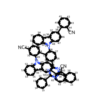 N#Cc1ccc(-c2cc(-c3nc(-c4ccccc4)nc(-c4ccccc4)n3)ccc2-n2c3ccccc3c3cc(-c4ccccc4C#N)ccc32)c(-n2c3ccccc3c3cc(-c4ccccc4C#N)ccc32)c1